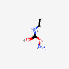 CCNC(=O)ON